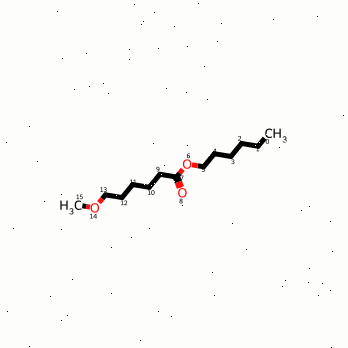 CCCCCCOC(=O)CCCCCOC